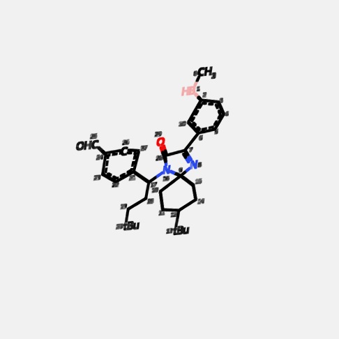 CBc1cccc(C2=NC3(CCC(C(C)(C)C)CC3)N(C(CCC(C)(C)C)c3ccc(C=O)cc3)C2=O)c1